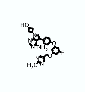 Cc1ncc(COc2cc(F)cc(Oc3ccc(-c4cn([C@H]5C[C@@H](O)C5)c5ncnc(N)c45)cc3)c2)cn1